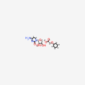 Nc1ccn([C@@H]2O[C@H](COC(=O)COc3ccccc3)[C@@H](O)[C@H]2O)c(=O)n1